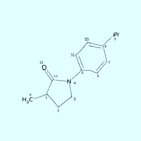 CC1CCN(c2ccc(C(C)C)cc2)C1=O